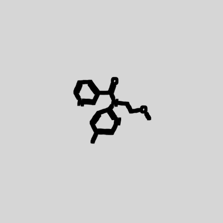 COCCN(C(=O)c1cccnc1)c1ccc(C)cn1